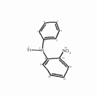 CCN(c1ccccc1)c1ccccc1[N+](=O)[O-]